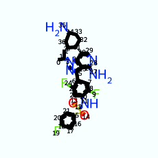 CC(C)n1nc(-c2cc(F)c(NS(=O)(=O)c3ccc(F)cc3)cc2F)c2c(N)ncc([C@H]3CC[C@H](N)CC3)c21